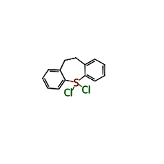 ClS1(Cl)c2ccccc2CCc2ccccc21